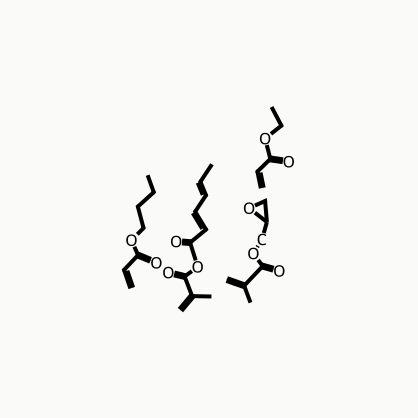 C=C(C)C(=O)OC(=O)C=CC=CC.C=C(C)C(=O)OCC1CO1.C=CC(=O)OCC.C=CC(=O)OCCCC